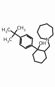 CC(C)(C)c1ccc(C2(O)CCCCC2CN2CCCCCC2)cc1